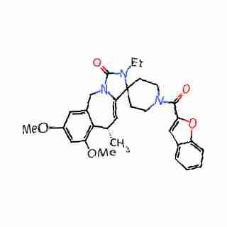 CCN1C(=O)N2Cc3cc(OC)cc(OC)c3[C@@H](C)C=C2C12CCN(C(=O)c1cc3ccccc3o1)CC2